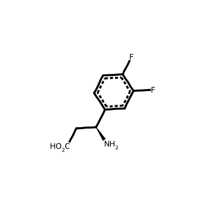 N[C@@H](CC(=O)O)c1ccc(F)c(F)c1